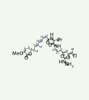 COC1=CCC(C(C)/C=C(C)/C=C/C=C\C(=O)NC(C(=O)N/C=C\CC(C/C=C(\C)Cl)OC(=O)NN)C(C)C)OC1=O